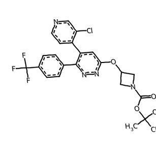 CC(C)(C)OC(=O)N1CC(Oc2cc(-c3ccncc3Cl)c(-c3ccc(C(F)(F)F)cc3)nn2)C1